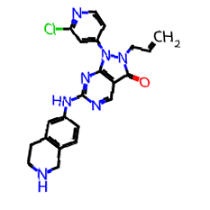 C=CCn1c(=O)c2cnc(Nc3ccc4c(c3)CCNC4)nc2n1-c1ccnc(Cl)c1